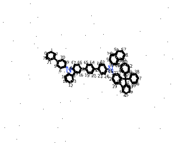 c1ccc(-c2ccc(-n3c4ccccc4c4cc(-c5ccc(-c6ccc(N(c7ccc8c(c7)C(c7ccccc7)(c7ccccc7)c7ccccc7-8)c7ccc8ccccc8c7)cc6)cc5)ccc43)cc2)cc1